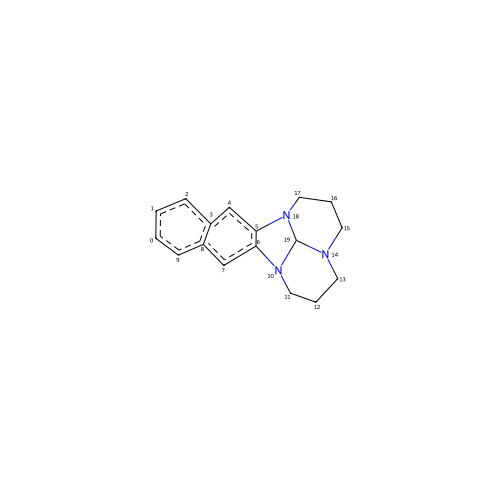 c1ccc2cc3c(cc2c1)N1CCCN2CCCN3C21